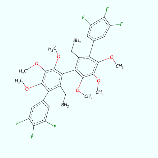 BCc1c(-c2cc(F)c(F)c(F)c2)c(OC)c(OC)c(OC)c1-c1c(CB)c(-c2cc(F)c(F)c(F)c2)c(OC)c(OC)c1OC